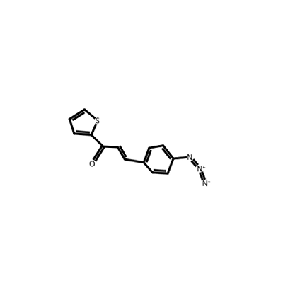 [N-]=[N+]=Nc1ccc(/C=C/C(=O)c2cccs2)cc1